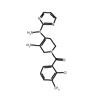 NC1=C(N(N)c2ncccn2)CCN(C(=O)c2cccc(C(F)(F)F)c2Cl)C1